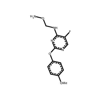 COc1ccc(Oc2ncc(F)c(NCON)n2)cc1